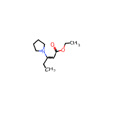 CCOC(=O)/C=C(/CC)N1CCCC1